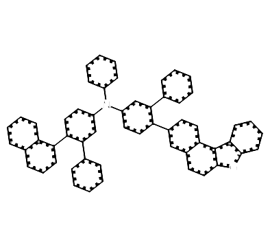 c1ccc(-c2cc(N(c3ccccc3)c3ccc(-c4cccc5ccccc45)c(-c4ccccc4)c3)ccc2-c2ccc3c(ccc4oc5ccccc5c43)c2)cc1